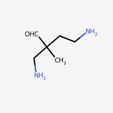 CC(C=O)(CN)CCN